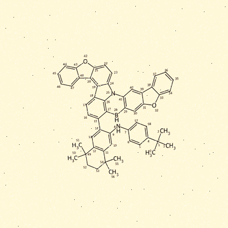 CC(C)(C)c1ccc(Nc2cc3c(cc2-c2ccc4c5c6c(ccc5n5c4c2Bc2cc4oc7ccccc7c4cc2-5)oc2ccccc26)C(C)(C)CCC3(C)C)cc1